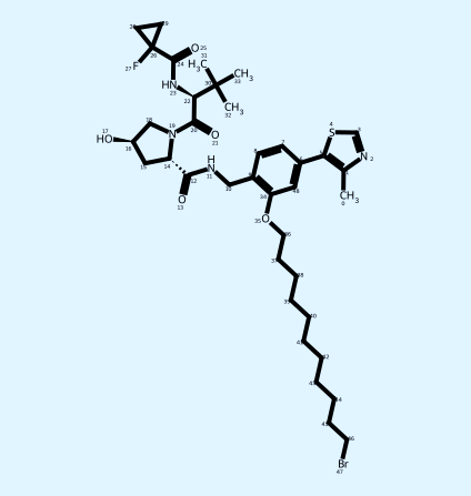 Cc1ncsc1-c1ccc(CNC(=O)[C@@H]2C[C@@H](O)CN2C(=O)[C@@H](NC(=O)C2(F)CC2)C(C)(C)C)c(OCCCCCCCCCCCBr)c1